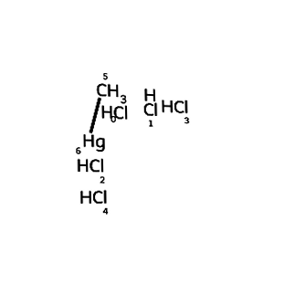 Cl.Cl.Cl.Cl.Cl.[CH3][Hg]